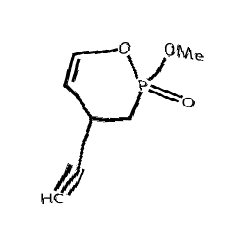 C#CC1C=COP(=O)(OC)C1